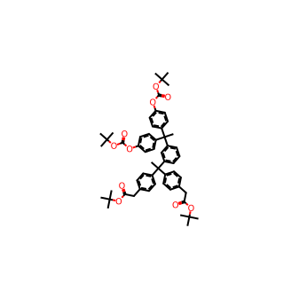 CC(C)(C)OC(=O)Cc1ccc(C(C)(c2ccc(CC(=O)OC(C)(C)C)cc2)c2cccc(C(C)(c3ccc(OC(=O)OC(C)(C)C)cc3)c3ccc(OC(=O)OC(C)(C)C)cc3)c2)cc1